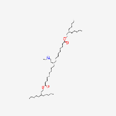 CCCCCC(CCCCC)CCOC(=O)CCCCCCCCC(CCCCCCCCC(=O)OCCC(CCCCC)CCCCC)CCN(C)CC